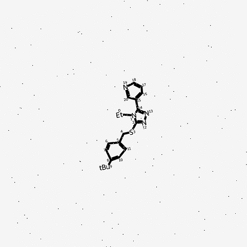 CCn1c(SCc2ccc(C(C)(C)C)cc2)nnc1-c1cccnc1